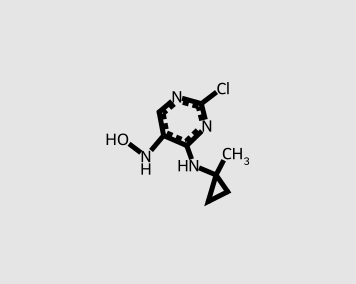 CC1(Nc2nc(Cl)ncc2NO)CC1